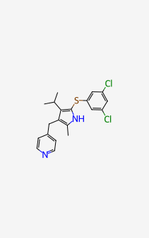 Cc1[nH]c(Sc2cc(Cl)cc(Cl)c2)c(C(C)C)c1Cc1ccncc1